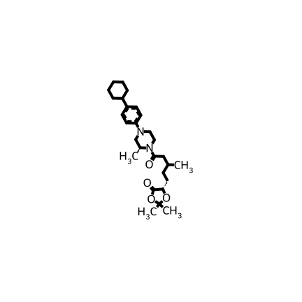 CC(CC[C@@H]1OC(C)(C)OC1=O)CC(=O)N1CCN(c2ccc(C3CCCCC3)cc2)C[C@H]1C